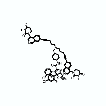 CC(C)(C)C[C@@H]1N[C@@H](C(=O)N[C@H]2CC[C@H](CN(CCCC#Cc3ccc4c(N5CCC(=O)NC5=O)cncc4c3)CCCC#Cc3ccc4c(N5CCC(=O)NC5=O)cncc4c3)CC2)[C@H](c2cccc(Cl)c2F)[C@@]1(C#N)c1ccc(Cl)cc1F